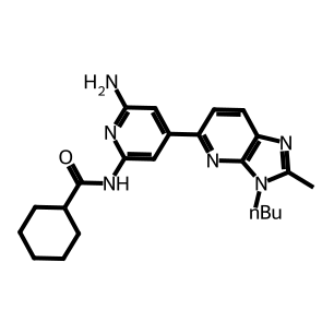 CCCCn1c(C)nc2ccc(-c3cc(N)nc(NC(=O)C4CCCCC4)c3)nc21